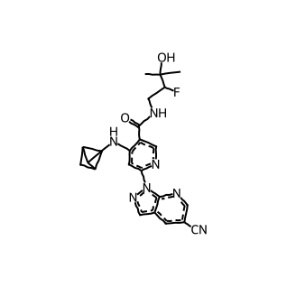 CC(C)(O)C(F)CNC(=O)c1cnc(-n2ncc3cc(C#N)cnc32)cc1NC1C2CC1C2